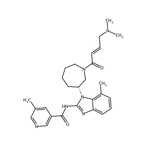 Cc1cncc(C(=O)Nc2nc3cccc(C)c3n2[C@@H]2CCCCN(C(=O)C=CCN(C)C)C2)c1